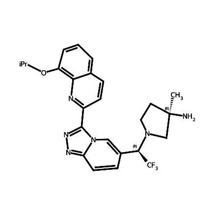 CC(C)Oc1cccc2ccc(-c3nnc4ccc([C@@H](N5CC[C@@](C)(N)C5)C(F)(F)F)cn34)nc12